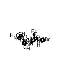 Cn1c(Nc2cc(CNC(=O)C(C)(C)C)ccc2Cl)nc2cc(C(=O)Nc3ccc(Br)cc3)c(OCC(F)F)nc21